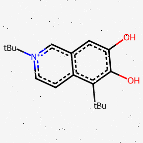 CC(C)(C)c1c(O)c(O)cc2c[n+](C(C)(C)C)ccc12